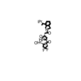 CC(C)C(C)c1cccc2c1CN(C(=O)C[C@@H]1C[C@@H](C(=O)N3CC(F)(F)C[C@H]3C=O)NC1=O)C2